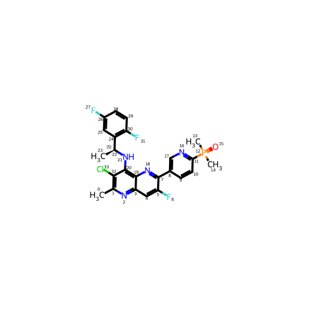 Cc1nc2cc(F)c(-c3ccc(P(C)(C)=O)nc3)nc2c(N[C@@H](C)c2cc(F)ccc2F)c1Cl